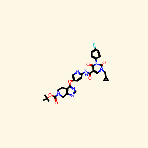 CC(C)(C)OC(=O)N1CCc2c(ncnc2Oc2ccc(NC(=O)c3cn(CC4CC4)c(=O)n(-c4ccc(F)cc4)c3=O)nc2)C1